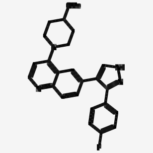 COC1CCN(c2ccnc3ccc(-c4c[nH]nc4-c4ccc(F)cc4)cc23)CC1